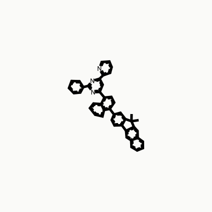 CC1(C)c2cc(-c3ccc(-c4cc(-c5ccccn5)nc(-c5ccccc5)n4)c4ccccc34)ccc2-c2cc3ccccc3cc21